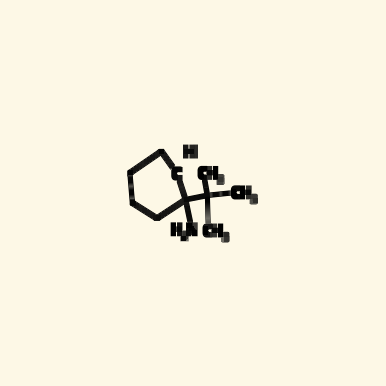 CC(C)(C)C1(N)CCCCC1.I